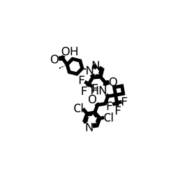 C[C@]1(C(=O)O)CC[C@H](n2ncc(C(=O)NC(CC(=O)c3c(Cl)cncc3Cl)C3(C(F)(F)F)CCC3)c2C(F)(F)F)CC1